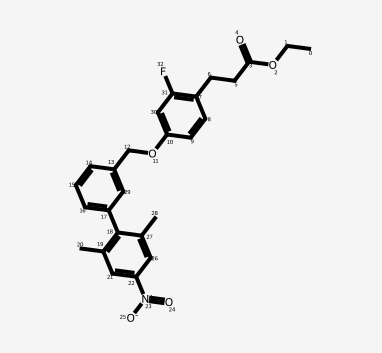 CCOC(=O)CCc1ccc(OCc2cccc(-c3c(C)cc([N+](=O)[O-])cc3C)c2)cc1F